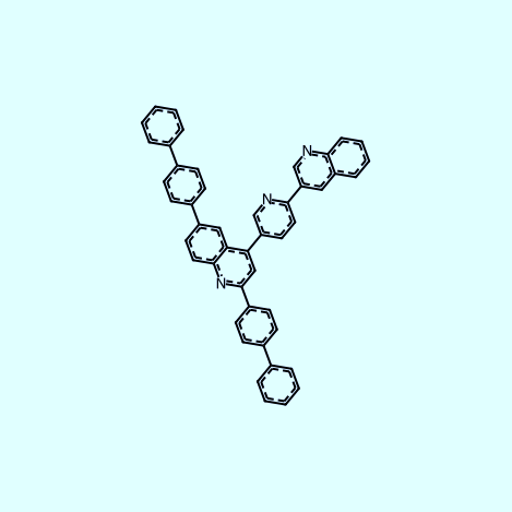 c1ccc(-c2ccc(-c3ccc4nc(-c5ccc(-c6ccccc6)cc5)cc(-c5ccc(-c6cnc7ccccc7c6)nc5)c4c3)cc2)cc1